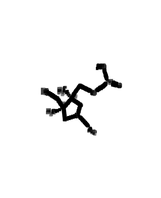 CC(=O)N1C[C@](C)(CO[PH](=O)O)[C@](C)(CO)C1